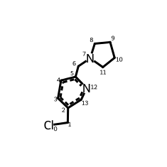 ClCc1ccc(CN2CCCC2)nc1